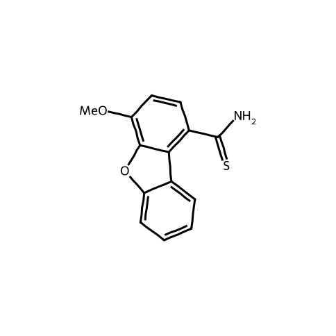 COc1ccc(C(N)=S)c2c1oc1ccccc12